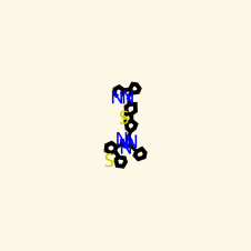 c1ccc(-c2nc(-c3ccc4c(c3)sc3cc(-n5c6ccccc6c6cccnc65)ccc34)nc(-c3cccc4sc5ccccc5c34)n2)cc1